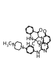 CN1CCN(c2ccc(Nc3ncc4ccc(=O)n(C5C(=O)c6ccccc6NC5(C)C)c4n3)cc2)CC1